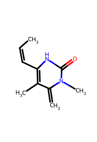 C=C1C(C)=C(/C=C\C)NC(=O)N1C